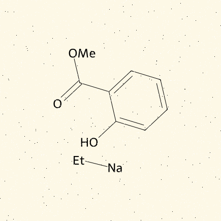 COC(=O)c1ccccc1O.C[CH2][Na]